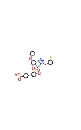 COc1ccc(-c2ccc(C(=O)O)cc2)cc1S(=O)(=O)N(Cc1nncn1Cc1cccc(F)c1)c1ccc(Oc2ccccc2)cc1